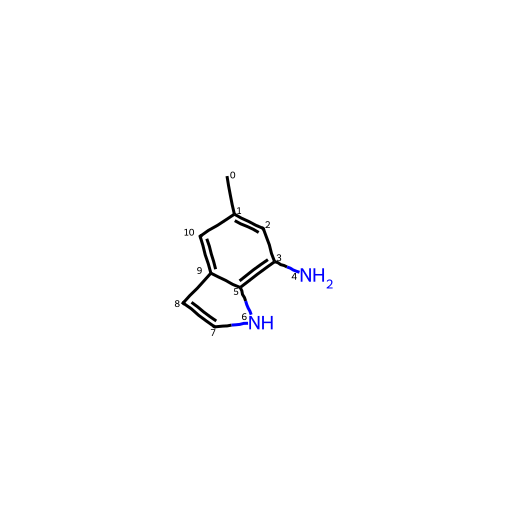 Cc1cc(N)c2[nH]ccc2c1